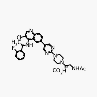 CC(=O)NC[C@@H](C(=O)O)N1CCN(c2ncc(-c3ccc4ncc(Cl)c(N[C@H](C)c5ccccc5F)c4c3)cn2)CC1